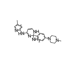 Cc1cnc(NC2=NC(N)(c3ccc(N4CCN(C)CC4)cc3)NC=C2)s1